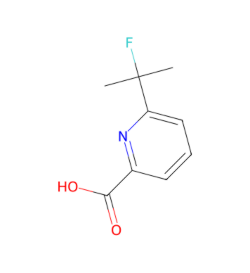 CC(C)(F)c1cccc(C(=O)O)n1